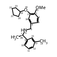 COc1ccc(CN[C@H](C)c2cccc(C)c2)cc1OC1CCCC1